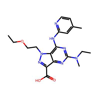 CCOCCn1nc(C(=O)O)c2nc(N(C)CC)nc(Nc3cc(C)ccn3)c21